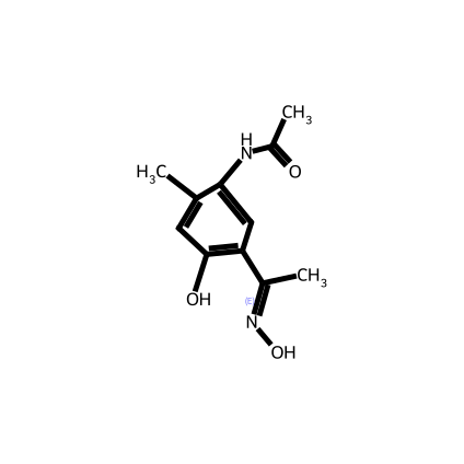 CC(=O)Nc1cc(/C(C)=N/O)c(O)cc1C